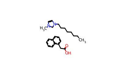 CCCCCCCCN1C=CN(C)C1.O=C(O)Cc1cccc2ccccc12